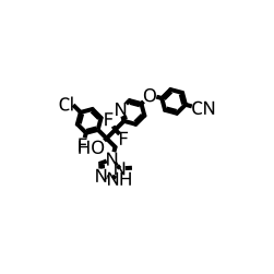 CN1NN=CN1CC(O)(c1ccc(Cl)cc1F)C(F)(F)c1ccc(Oc2ccc(C#N)cc2)cn1